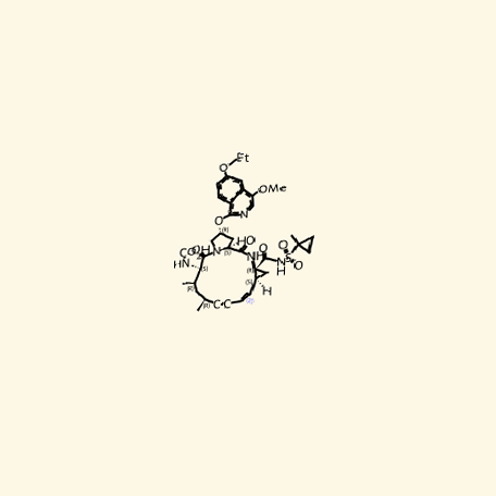 CCOc1ccc2c(O[C@@H]3C[C@H]4C(=O)N[C@]5(C(=O)NS(=O)(=O)C6(C)CC6)C[C@H]5/C=C\CC[C@@H](C)C[C@@H](C)[C@H](NC(=O)O)C(=O)N4C3)ncc(OC)c2c1